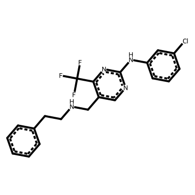 FC(F)(F)c1nc(Nc2cccc(Cl)c2)ncc1CNCCc1ccccc1